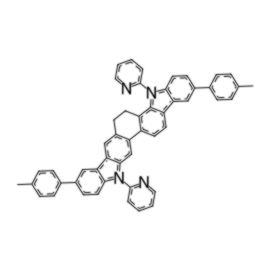 Cc1ccc(-c2ccc3c(c2)c2cc4c(cc2n3-c2ccccn2)-c2ccc3c5cc(-c6ccc(C)cc6)ccc5n(-c5ccccn5)c3c2CC4)cc1